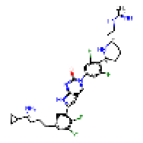 CC(=N)NCC[C@@H]1CCC[C@@H](c2c(F)cc(-n3cc4cc(-c5cc(CCC[C@@H](N)C6CC6)cc(Cl)c5F)[nH]c4nc3=O)cc2F)N1